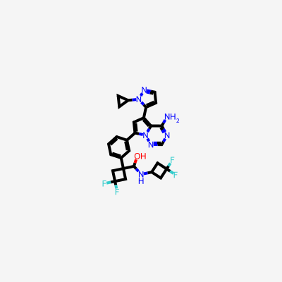 Nc1ncnn2c(-c3cccc(C4(C(O)NC5CC(F)(F)C5)CC(F)(F)C4)c3)cc(-c3ccnn3C3CC3)c12